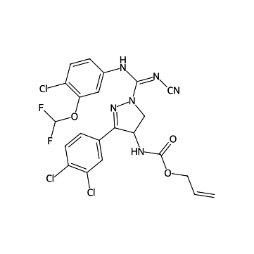 C=CCOC(=O)NC1CN(/C(=N\C#N)Nc2ccc(Cl)c(OC(F)F)c2)N=C1c1ccc(Cl)c(Cl)c1